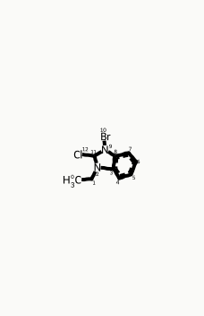 CCN1c2ccccc2N(Br)C1Cl